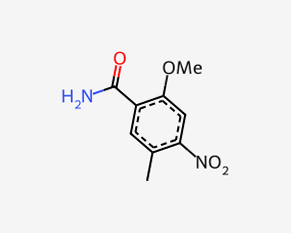 COc1cc([N+](=O)[O-])c(C)cc1C(N)=O